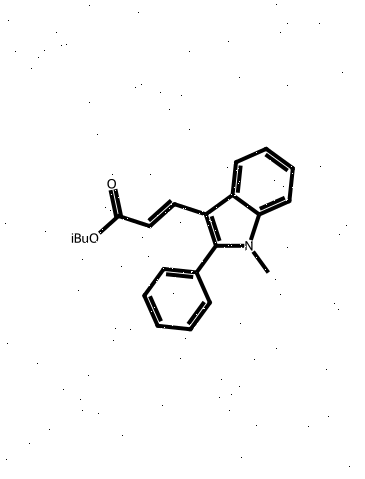 CC(C)COC(=O)C=Cc1c(-c2ccccc2)n(C)c2ccccc12